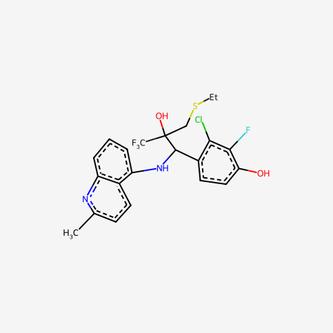 CCSCC(O)(C(Nc1cccc2nc(C)ccc12)c1ccc(O)c(F)c1Cl)C(F)(F)F